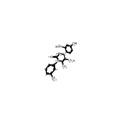 CSc1cc(C#N)ccc1[C@H]1NC(=O)N(c2cccc(C(F)(F)F)c2)C(C)=C1C(=O)O